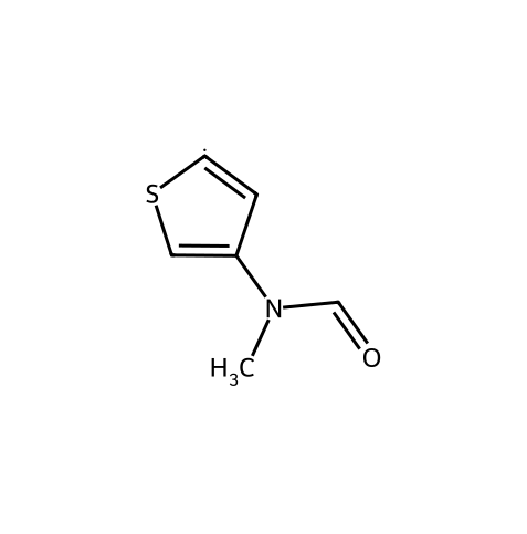 CN(C=O)c1c[c]sc1